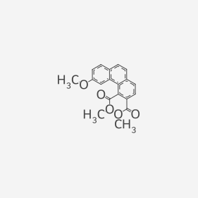 COC(=O)c1ccc2ccc3ccc(OC)cc3c2c1C(=O)OC